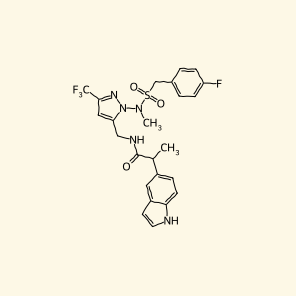 CC(C(=O)NCc1cc(C(F)(F)F)nn1N(C)S(=O)(=O)Cc1ccc(F)cc1)c1ccc2[nH]ccc2c1